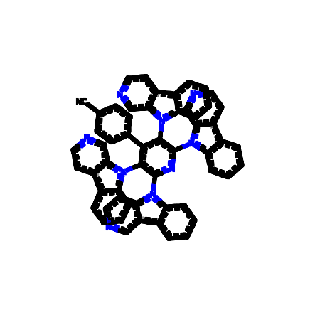 N#Cc1ccc(-c2c(-n3c4ccccc4c4ccncc43)c(-n3c4ccccc4c4cnccc43)nc(-n3c4ccccc4c4ccncc43)c2-n2c3ccccc3c3ccncc32)cc1